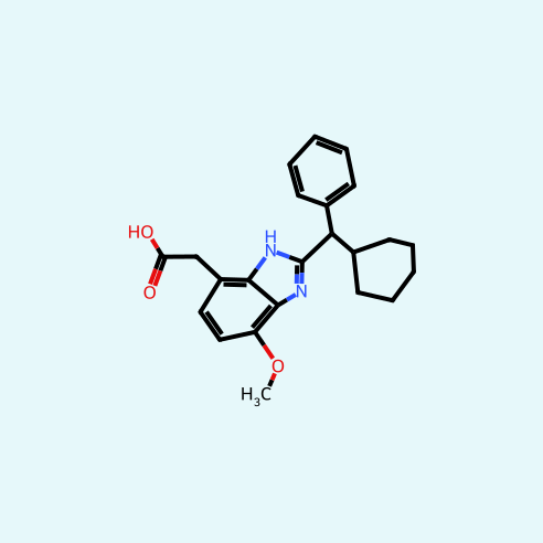 COc1ccc(CC(=O)O)c2[nH]c(C(c3ccccc3)C3CCCCC3)nc12